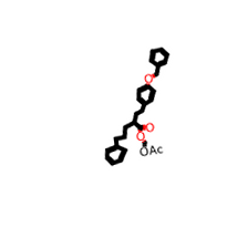 CC(=O)OCOC(=O)C(CCCc1ccccc1)CCc1ccc(OCc2ccccc2)cc1